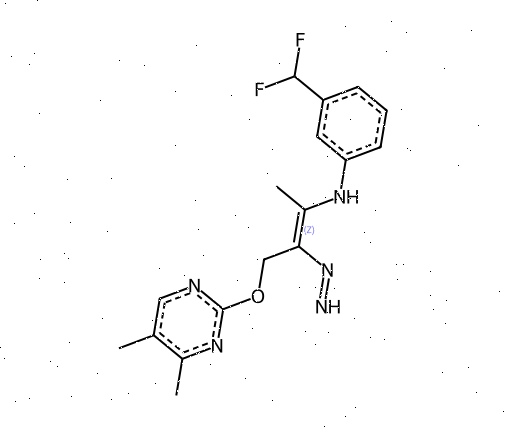 C/C(Nc1cccc(C(F)F)c1)=C(\COc1ncc(C)c(C)n1)N=N